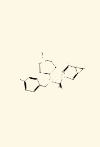 CN1CCC(N(Cc2ccc(F)cc2)C(=O)N2C=CC3CC3=C2)CC1